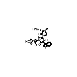 CCN1CCN(C(=O)NC(C(=O)NC2CN(S(=O)(=O)O)C2=O)c2csc3ccccc23)C(=O)C1=O.[NaH]